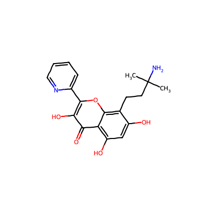 CC(C)(N)CCc1c(O)cc(O)c2c(=O)c(O)c(-c3ccccn3)oc12